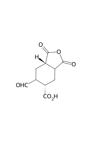 O=CC1C[C@@H]2C(=O)OC(=O)C2C[C@@H]1C(=O)O